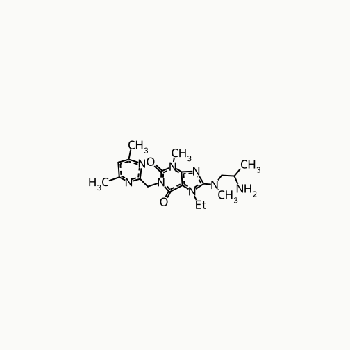 CCn1c(N(C)CC(C)N)nc2c1c(=O)n(Cc1nc(C)cc(C)n1)c(=O)n2C